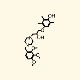 COc1ccc(CN2CCN(CC(O)COc3cc(C)c(O)c(C)c3C)CC2)c(OC)c1OC